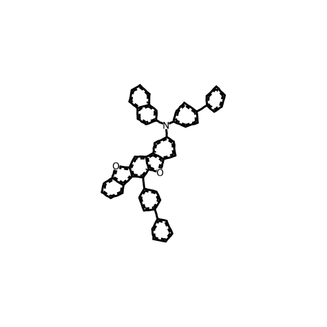 c1ccc(-c2ccc(-c3c4oc5ccc(N(c6ccc(-c7ccccc7)cc6)c6ccc7ccccc7c6)cc5c4cc4oc5ccccc5c34)cc2)cc1